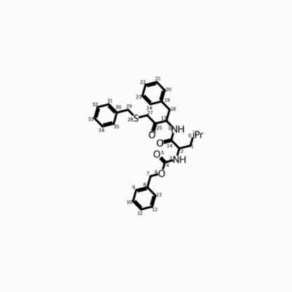 CC(C)CC(NC(=O)OCc1ccccc1)C(=O)NC(Cc1ccccc1)C(=O)CSCc1ccccc1